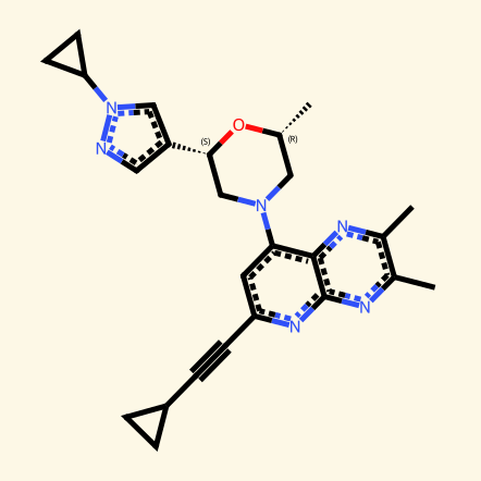 Cc1nc2nc(C#CC3CC3)cc(N3C[C@@H](C)O[C@@H](c4cnn(C5CC5)c4)C3)c2nc1C